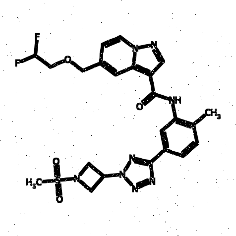 Cc1ccc(-c2nnn(C3CN(S(C)(=O)=O)C3)n2)cc1NC(=O)c1cnn2ccc(COCC(F)F)cc12